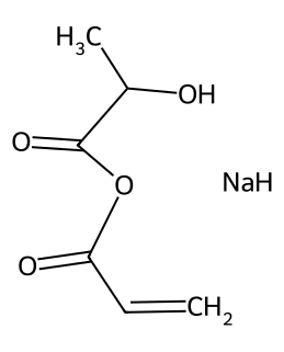 C=CC(=O)OC(=O)C(C)O.[NaH]